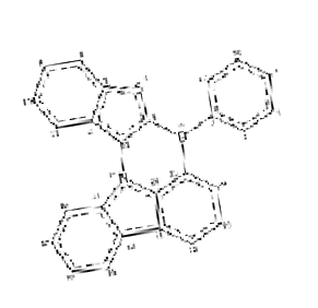 c1ccc(B2c3sc4ccccc4c3-n3c4ccccc4c4cccc2c43)cc1